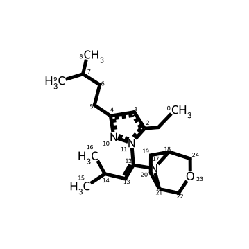 CCc1cc(CCC(C)C)nn1/C(=C\C(C)C)N1C2CCC1COC2